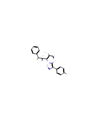 CCC(c1ccccc1)[C@@](C)(C(=O)O)c1c(C#N)cnc2c(-c3ccc(C(F)(F)F)cc3)cnn12